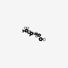 Cc1cc(OC[P@]2(=O)OC3C2CC[C@H]3c2cccc(Cl)c2)cc(C)c1Cc1ccc(O)c(C(C)C)c1